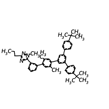 CCCc1nc(-c2cccc(-c3cc(C)c(-c4cc(-c5ccc(C(C)(C)C)cc5)cc(-c5ccc(C(C)(C)C)cc5)c4)cc3C)c2)n(C)n1